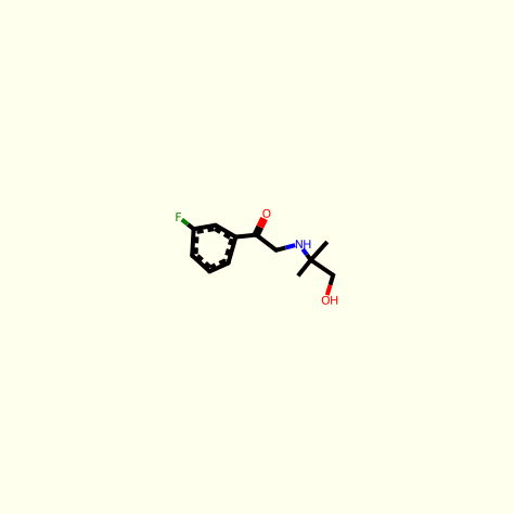 CC(C)(CO)NCC(=O)c1cccc(F)c1